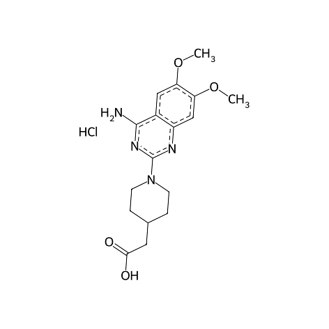 COc1cc2nc(N3CCC(CC(=O)O)CC3)nc(N)c2cc1OC.Cl